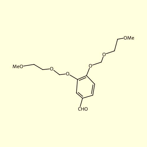 COCCOCOc1ccc(C=O)cc1OCOCCOC